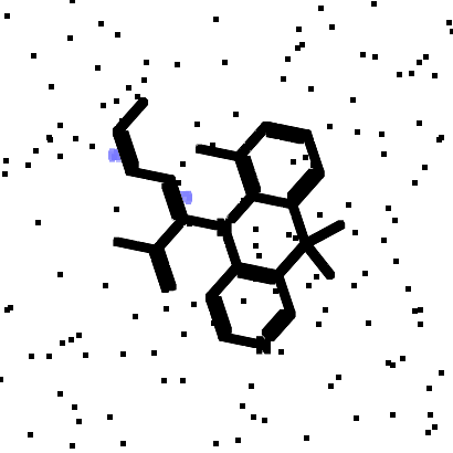 C=C(C)/C(=C\C=C/C)N1c2ccncc2C(C)(C)c2cccc(C)c21